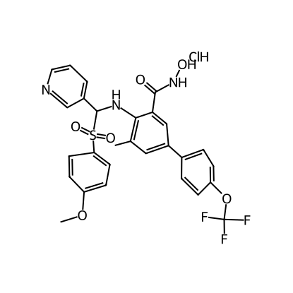 COc1ccc(S(=O)(=O)C(Nc2c(C)cc(-c3ccc(OC(F)(F)F)cc3)cc2C(=O)NO)c2cccnc2)cc1.Cl